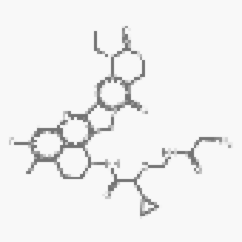 CC[C@H]1C(=O)OCc2c1cc1n(c2=O)Cc2c-1nc1cc(F)c(C)c3c1c2[C@@H](NC(=O)C(OCNC(=O)CN)C1CC1)CC3